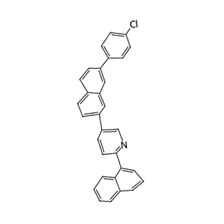 Clc1ccc(-c2ccc3ccc(-c4ccc(-c5cccc6ccccc56)nc4)cc3c2)cc1